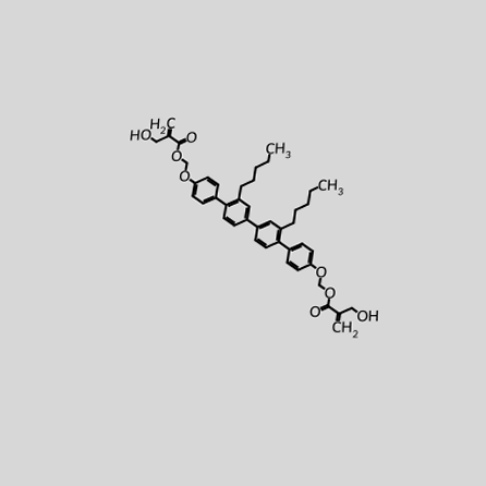 C=C(CO)C(=O)OCOc1ccc(-c2ccc(-c3ccc(-c4ccc(OCOC(=O)C(=C)CO)cc4)c(CCCCC)c3)cc2CCCCC)cc1